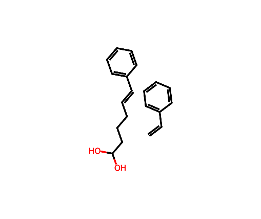 C=Cc1ccccc1.OC(O)CCCC=Cc1ccccc1